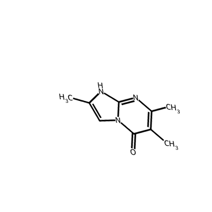 Cc1cn2c(=O)c(C)c(C)nc2[nH]1